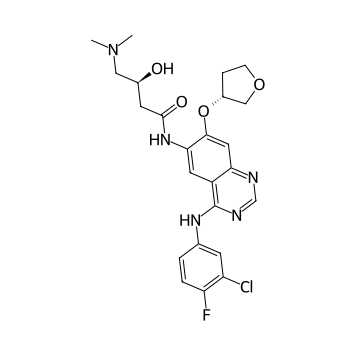 CN(C)C[C@@H](O)CC(=O)Nc1cc2c(Nc3ccc(F)c(Cl)c3)ncnc2cc1O[C@@H]1CCOC1